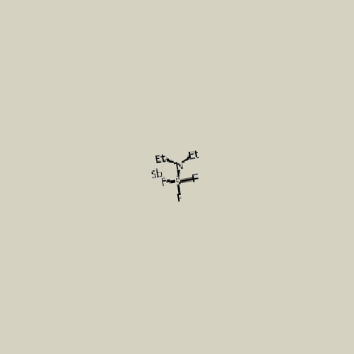 CCN(CC)S(F)(F)F.[Sb]